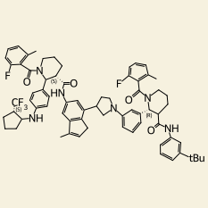 CC1=CCc2c1cc(NC(=O)[C@H]1CCCN(C(=O)c3c(C)cccc3F)C1c1ccc(NC3CCC[C@@H]3C(F)(F)F)cc1)cc2C1CCN(c2cccc([C@H]3C(C(=O)Nc4cccc(C(C)(C)C)c4)CCCN3C(=O)c3c(C)cccc3F)c2)C1